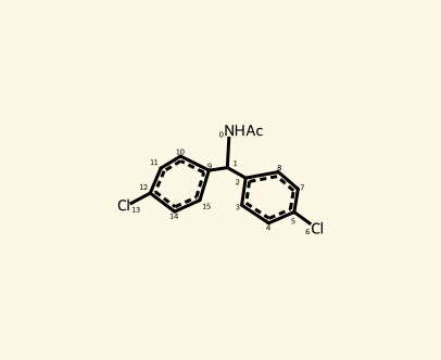 CC(=O)NC(c1ccc(Cl)cc1)c1ccc(Cl)cc1